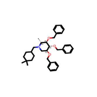 C[C@@H]1[C@@H](OCc2ccccc2)[C@H](OCc2ccccc2)[C@@H](OCc2ccccc2)CN1CC1CCC(C)(C)CC1